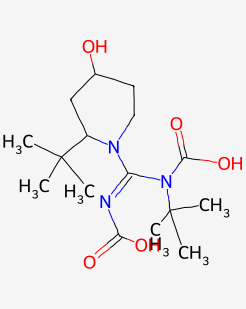 CC(C)(C)C1CC(O)CCN1C(=NC(=O)O)N(C(=O)O)C(C)(C)C